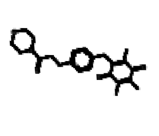 CC1=C(C)C(=O)C(Cc2ccc(CCC(=O)N3CCOCC3)cc2)=C(C)C1=O